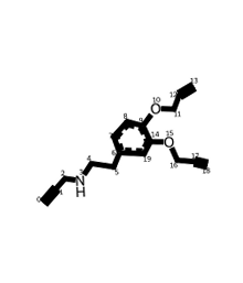 C#CCNCCc1ccc(OCC#C)c(OCC#C)c1